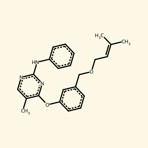 CC(C)=CCOCc1cccc(Oc2nc(Nc3ccccc3)ncc2C)c1